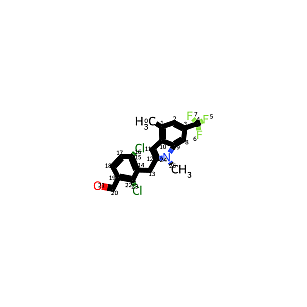 Cc1cc(C(F)(F)F)cc2c1cc(Cc1c(Cl)ccc(C=O)c1Cl)n2C